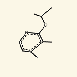 Cc1ccnc(OC(C)C)c1C